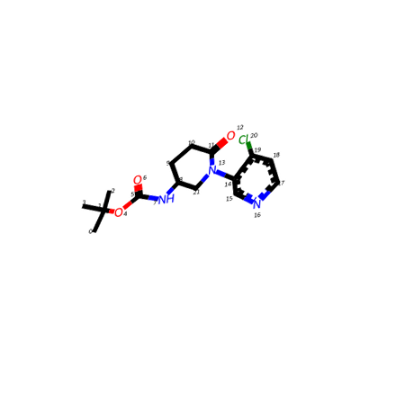 CC(C)(C)OC(=O)NC1CCC(=O)N(c2cnccc2Cl)C1